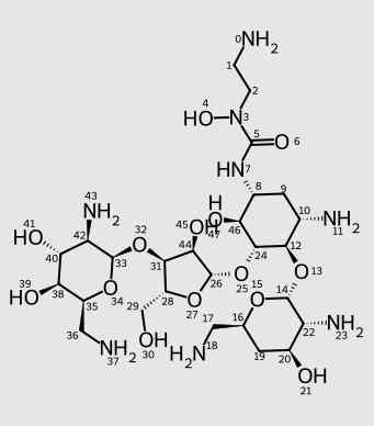 NCCN(O)C(=O)N[C@@H]1C[C@H](N)[C@@H](O[C@H]2O[C@H](CN)C[C@H](O)[C@H]2N)[C@H](O[C@@H]2O[C@H](CO)[C@@H](O[C@H]3O[C@@H](CN)[C@@H](O)[C@H](O)[C@H]3N)[C@H]2O)[C@H]1O